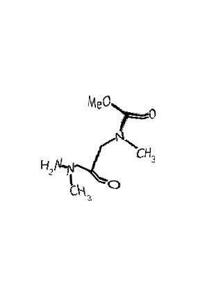 COC(=O)N(C)CC(=O)N(C)N